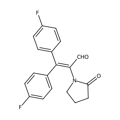 O=CC(=C(c1ccc(F)cc1)c1ccc(F)cc1)N1CCCC1=O